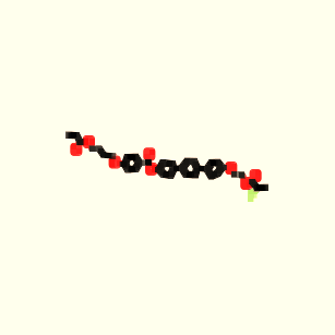 C=CC(=O)OCCCCOc1ccc(C(=O)Oc2ccc(-c3ccc(-c4ccc(OCCOC(=O)C(=C)F)cc4)cc3)cc2)cc1